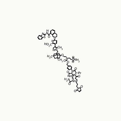 Cc1c(-c2ccc(N3CCc4cccc(C(=O)Nc5nc6ccccc6s5)c4C3)nc2C(=O)O)cnn1CC12CC3(C)CC(C)(C1)CC(OCCN(CCS(N)(=O)=O)C(=O)OCc1ccc(N(C(=O)[C@@H](NC(=O)CCCCCN4C(=O)C=CC4=O)C(C)C)[C@@H](CCCNC(N)=O)C(N)=O)cc1)(C3)C2